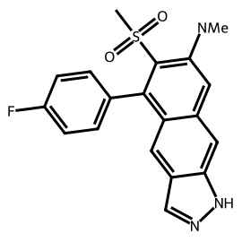 CNc1cc2cc3[nH]ncc3cc2c(-c2ccc(F)cc2)c1S(C)(=O)=O